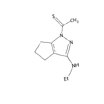 CCNc1nn(C(C)=S)c2c1CCC2